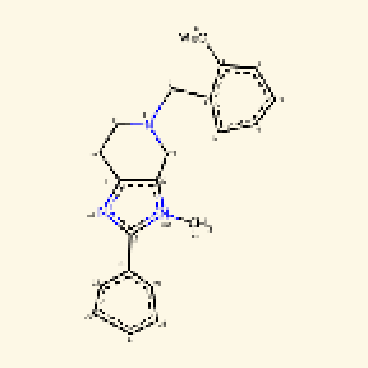 COc1ccccc1CN1CCc2nc(-c3ccccc3)n(C)c2C1